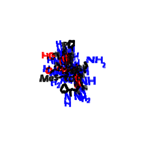 CC[C@H](C)[C@H](NC(=O)[C@H](CCCCN)NC(=O)[C@H](C)NC(=O)[C@@H](N)Cc1c[nH]c2ccccc12)C(=O)N[C@@H](CCCN=C(N)N)C(=O)N[C@@H](CCCN=C(N)N)C(=O)N[C@@H](Cc1ccccc1)C(=O)N[C@H](C(=O)N[C@@H](CO)C(=O)N[C@@H](CCC(N)=O)C(=O)N[C@H](C(=O)N[C@H](C(=O)N[C@@H](CCSC)C(=O)O)[C@@H](C)CC)C(C)C)C(C)C